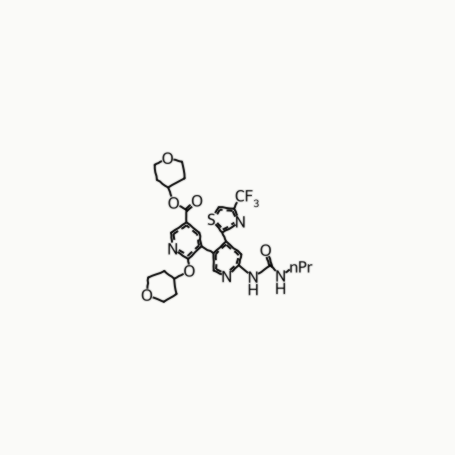 CCCNC(=O)Nc1cc(-c2nc(C(F)(F)F)cs2)c(-c2cc(C(=O)OC3CCOCC3)cnc2OC2CCOCC2)cn1